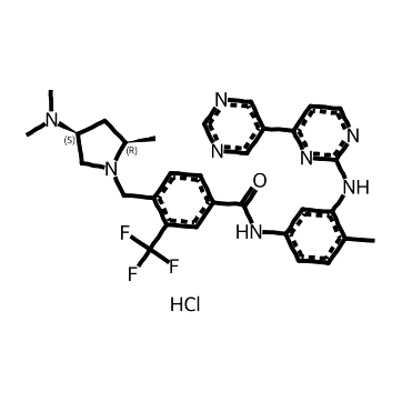 Cc1ccc(NC(=O)c2ccc(CN3C[C@@H](N(C)C)C[C@H]3C)c(C(F)(F)F)c2)cc1Nc1nccc(-c2cncnc2)n1.Cl